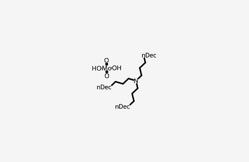 CCCCCCCCCCCCCN(CCCCCCCCCCCCC)CCCCCCCCCCCCC.[O]=[Mo](=[O])([OH])[OH]